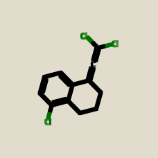 ClC(Cl)=C=C1CCCc2c(Cl)cccc21